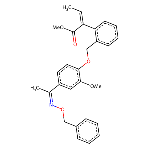 CC=C(C(=O)OC)c1ccccc1COc1ccc(/C(C)=N\OCc2ccccc2)cc1OC